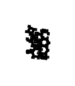 C[C@@H]1Cc2ccc(C(N)=O)c(O)c2[C@@]2(CCN(C)CC3CCC3)CC(=O)CC[C@@]12O